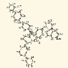 CC1CC(c2cccc(-c3ccccc3)c2)=CC=C1N(c1ccc(-c2ccc(-c3ccccc3)cc2)cc1)c1ccc(-c2cc3ccccc3c3ccccc23)cc1